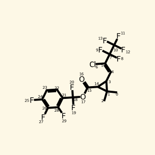 CC1(C)C(C=C(Cl)C(F)(F)C(F)(F)F)C1C(=O)OC(F)(F)c1ccc(F)c(F)c1F